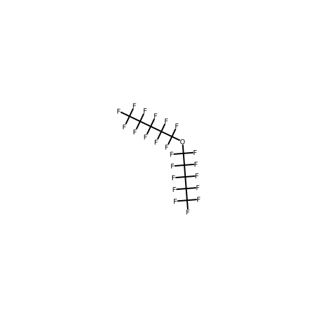 FC(F)(F)C(F)(F)C(F)(F)C(F)(F)C(F)(F)OC(F)(F)C(F)(F)C(F)(F)C(F)(F)C(F)(F)F